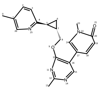 Cc1ccc([C@H]2C[C@@H]2COc2nc(C)ncc2-c2ccc(=O)n(C)c2)nc1